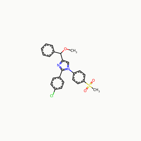 COC(c1ccccc1)c1cn(-c2ccc(S(C)(=O)=O)cc2)c(-c2ccc(Cl)cc2)n1